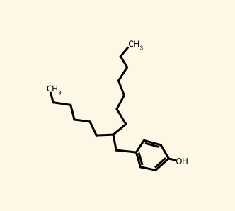 CCCCCCCC(CCCCCC)Cc1ccc(O)cc1